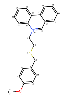 COc1ccc(CSCC[n+]2cc3ccccc3c3ccccc32)cc1